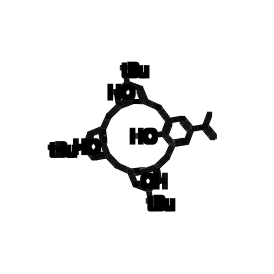 C=C(C)c1cc2c(O)c(c1)Cc1cc(C(C)(C)C)cc(c1O)Cc1cc(C(C)(C)C)cc(c1O)Cc1cc(C(C)(C)C)cc(c1O)C2